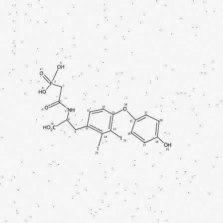 O=C(CP(=O)(O)O)NC(Cc1ccc(Oc2ccc(O)cc2)c(I)c1I)C(=O)O